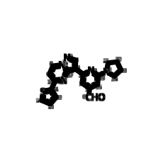 O=Cc1cc(-c2cnn3ccc(-c4cccs4)nc23)nc(N2CCCC2)c1